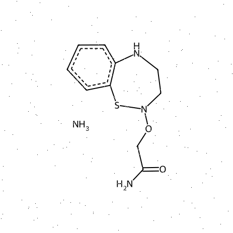 N.NC(=O)CON1CCNc2ccccc2S1